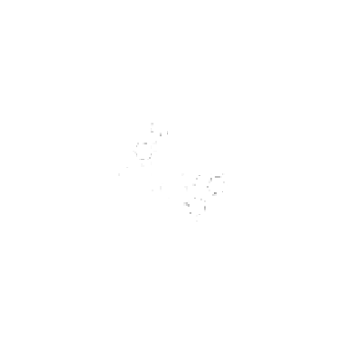 CC(CCCN1CCC(C(O)(c2ccccc2)c2ccccc2)CC1)c1ccc(C(=O)O)cc1